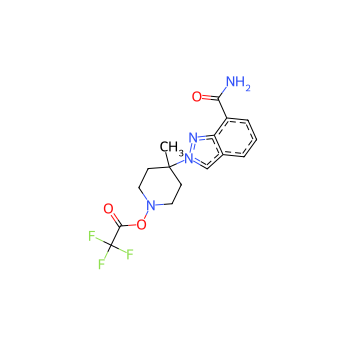 CC1(n2cc3cccc(C(N)=O)c3n2)CCN(OC(=O)C(F)(F)F)CC1